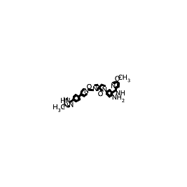 CN/C=N\C(=N)c1ccc(C2=CCN(C(=O)CN3CC[C@]4(CCN(c5ccc(N)c(C(=N)c6ccc(OC)cn6)c5)C4=O)C3)CC2)cc1